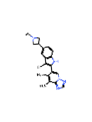 Cc1c(-c2[nH]c3ccc(C4CN(C(C)C)C4)cc3c2C(C)C)cn2ncnc2c1C